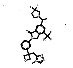 CC(c1cc2c(c(C(F)(F)F)c1)CN(c1cccc(C3(Cc4nncn4C)COC3)c1)C2=O)N1CCC(F)(F)C1